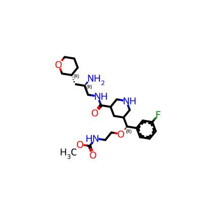 COC(=O)NCCO[C@@H](c1cccc(F)c1)C1CNCC(C(=O)NC[C@H](N)C[C@H]2CCCOC2)C1